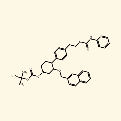 CC(C)(C)OC(=O)ON1CCC(c2ccc(CCOC(=O)Nc3ccccn3)cc2)C(OCc2ccc3ccccc3c2)C1